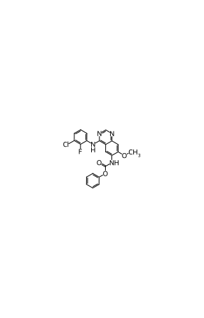 COc1cc2ncnc(Nc3cccc(Cl)c3F)c2cc1NC(=O)Oc1ccccc1